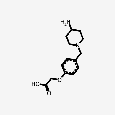 NC1CCN(Cc2ccc(OCC(=O)O)cc2)CC1